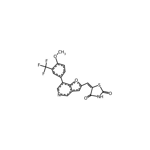 COc1ccc(-c2cncc3cc(C=C4SC(=O)NC4=O)oc23)cc1C(F)(F)F